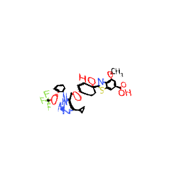 COc1cc(C(=O)O)cc2sc(C3(O)CCC(OCc4c(C5CC5)nnn4-c4ccccc4OC(F)(F)F)CC3)nc12